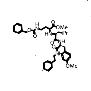 COC(=O)C(CCNC(=O)OCc1ccccc1)N[C@@H](CC(C)C)C(=O)N[C@@H](Cc1ccc(OC)cc1)C(=O)NCCc1ccccc1